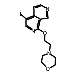 Ic1cnc(OCCN2CCOCC2)c2cnccc12